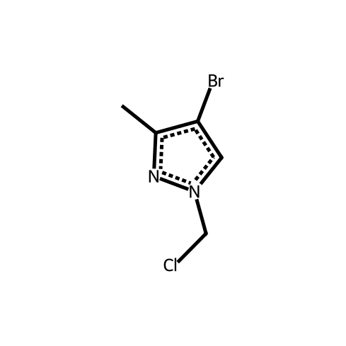 Cc1nn(CCl)cc1Br